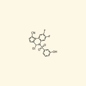 CCC1c2ccc(C#N)n2-c2cc(F)c(F)cc2N1S(=O)(=O)c1cccc(O)c1